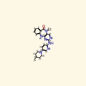 CCN1C(=O)c2ccccc2N(C)c2nc(Nc3ccc(N4CCC(C)CC4)cn3)ncc21